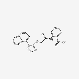 O=C(CSc1nccn1-c1cccc2ccccc12)Nc1ccccc1[N+](=O)[O-]